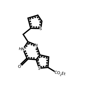 CCOC(=O)c1cc2nc(Cc3cccs3)[nH]c(=O)c2s1